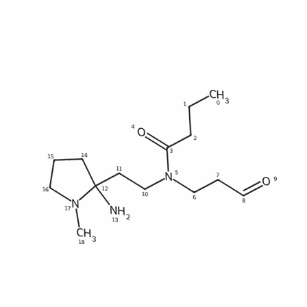 CCCC(=O)N(CCC=O)CCC1(N)CCCN1C